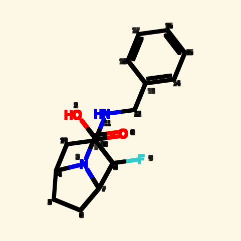 O=C(O)N1C2CCC1C(F)C(NCc1ccccc1)C2